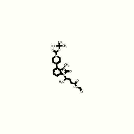 CC(CCC(=O)NC=O)n1c(=O)n(C)c2c(C3=CCN(C(=O)OC(C)(C)C)CC3)cccc21